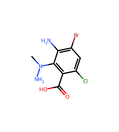 CN(N)c1c(N)c(Br)cc(Cl)c1C(=O)O